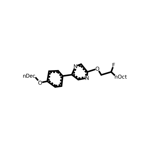 CCCCCCCCCCOc1ccc(-c2cnc(OCC(F)CCCCCCCC)cn2)cc1